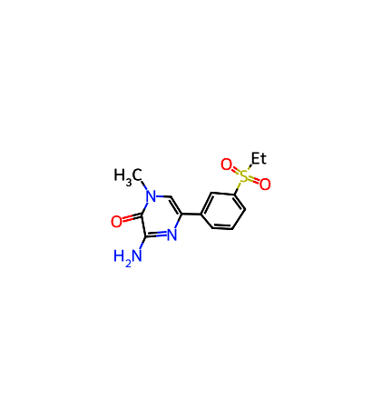 CCS(=O)(=O)c1cccc(-c2cn(C)c(=O)c(N)n2)c1